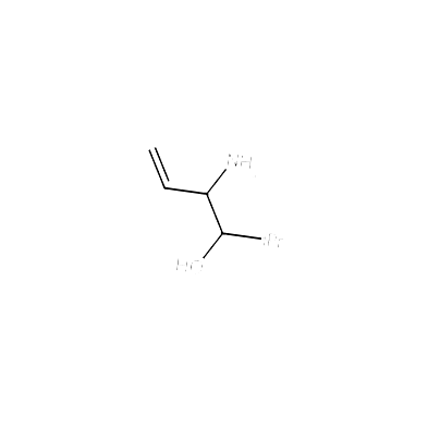 C=CC(N)C(O)C(C)C